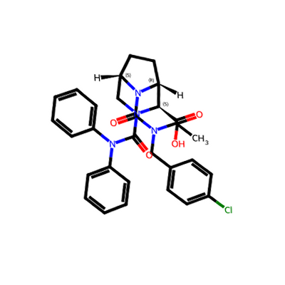 CCN(Cc1ccc(Cl)cc1)C(=O)N1[C@H]2CC[C@@H]1[C@@H](C(=O)O)N(C(=O)N(c1ccccc1)c1ccccc1)C2